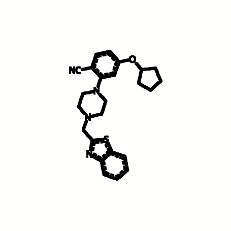 N#Cc1ccc(OC2CCCC2)cc1N1CCN(Cc2nc3ccccc3s2)CC1